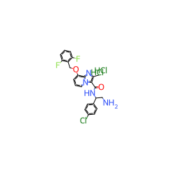 Cc1nc2c(OCc3c(F)cccc3F)cccn2c1C(=O)NC(CN)c1ccc(Cl)cc1.Cl.Cl